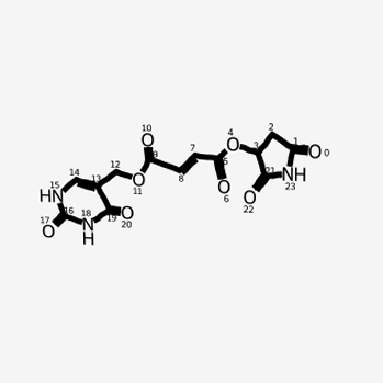 O=C1CC(OC(=O)/C=C/C(=O)OCc2c[nH]c(=O)[nH]c2=O)C(=O)N1